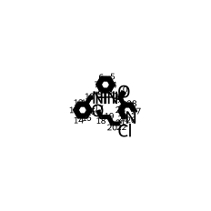 O=C(Nc1ccccc1NCc1ccccc1OCCCCCl)c1ccncc1